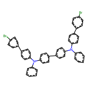 Brc1ccc(-c2ccc(N(c3ccccc3)c3ccc(-c4ccc(N(c5ccccc5)c5ccc(-c6ccc(Br)cc6)cc5)cc4)cc3)cc2)cc1